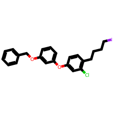 Clc1cc(Oc2cccc(OCc3ccccc3)c2)ccc1CCCCI